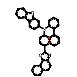 c1ccc(-c2ccccc2N(c2ccc(-c3nc4ccc5ccccc5c4o3)cc2)c2ccc3c(c2)oc2ccccc23)cc1